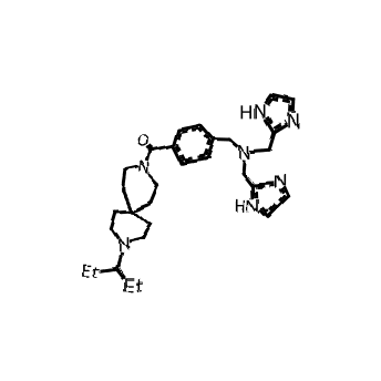 CCC(CC)N1CCC2(CCN(C(=O)c3ccc(CN(Cc4ncc[nH]4)Cc4ncc[nH]4)cc3)CC2)CC1